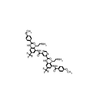 COc1ccc(C(=O)Nc2cc(C(F)(F)F)cc(NC(=O)c3cc(C(=O)Nc4cc(C(F)(F)F)cc(NC(=O)c5ccc(OC)cc5)c4SCCN)ncn3)c2SCCN)cc1